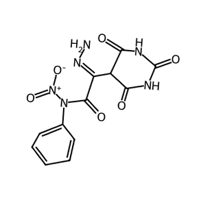 NN=C(C(=O)N(c1ccccc1)[N+](=O)[O-])C1C(=O)NC(=O)NC1=O